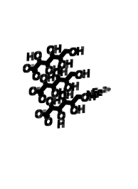 O=C([O-])C(O)C(O)C(O)C(O)CO.O=C([O-])C(O)C(O)C(O)C(O)CO.O=C([O-])C(O)C(O)C(O)C(O)CO.[Fe+2].[Na+]